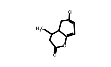 CC1CC(=O)OC2=CC=C(O)CC21